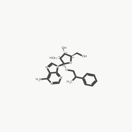 CC(CO[C@@]1(n2cnc3c(N)ncnc32)O[C@H](CO)[C@@H](O)[C@H]1O)c1ccccc1